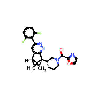 CC1(C)[C@H]2CC[C@]1([C@H]1CCCN(C(=O)c3ncco3)C1)c1nnc(-c3c(F)cccc3F)cc12